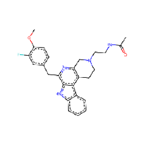 COc1ccc(Cc2nc3c(c4c2[nH]c2ccccc24)CCN(CCNC(C)=O)C3)cc1F